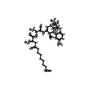 CCCCCCCCCCCCCCCCCC(=O)C[C@@H](C)C(=O)O[C@@H](C)C(=O)OC1=CC[C@@]2(O)[C@H]3Cc4ccc(C)c5c4[C@@]2(CCN3C)[C@H]1O5